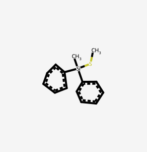 CS[Si](C)(c1ccccc1)c1ccccc1